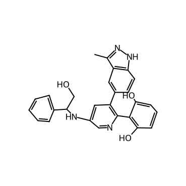 Cc1n[nH]c2ccc(-c3cc(NC(CO)c4ccccc4)cnc3-c3c(O)cccc3O)cc12